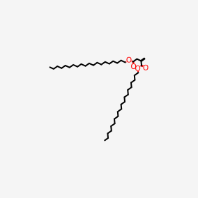 C=C(CC(=O)OCCCCCCCCCCCCCCCCCCCC)C(=O)OCCCCCCCCCCCCCCCCCCCC